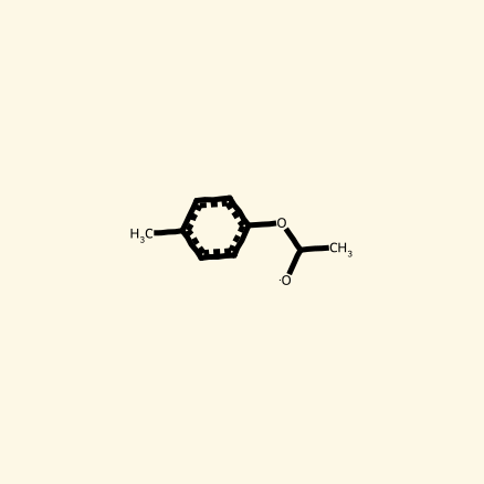 Cc1ccc(OC(C)[O])cc1